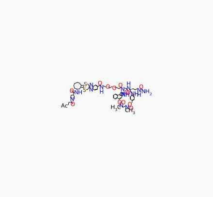 CC(=O)CCC(=O)N1CCC(C(=O)NC2CCCCCC3C(C2)C2SCc4nc5ccc(C(=O)NCCOCCOCCC(=O)NCC(=O)N[C@@H](CCCNC(N)=O)C(=O)Nc6ccc(COC(=O)N(C)CCN(C)C(=O)Oc7cc8c(c9ccccc79)CCN8)cc6)cc5nc4CSC32)CC1